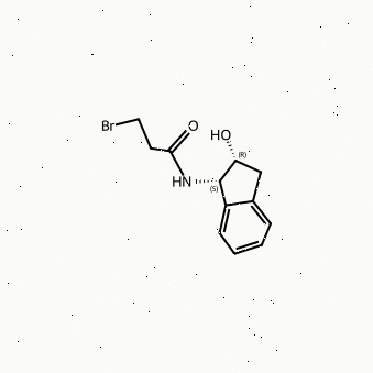 O=C(CCBr)N[C@H]1c2ccccc2C[C@H]1O